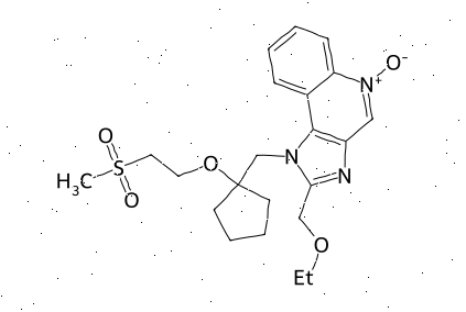 CCOCc1nc2c[n+]([O-])c3ccccc3c2n1CC1(OCCS(C)(=O)=O)CCCC1